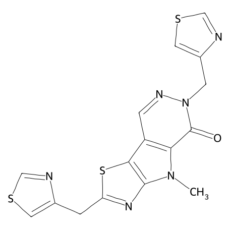 Cn1c2nc(Cc3cscn3)sc2c2cnn(Cc3cscn3)c(=O)c21